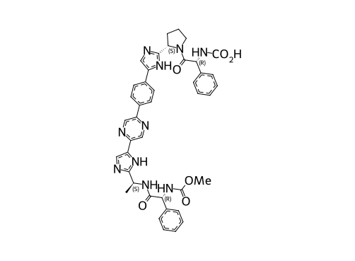 COC(=O)N[C@@H](C(=O)N[C@@H](C)c1ncc(-c2cnc(-c3ccc(-c4cnc([C@@H]5CCCN5C(=O)[C@H](NC(=O)O)c5ccccc5)[nH]4)cc3)cn2)[nH]1)c1ccccc1